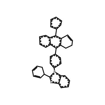 C1=CCC(c2nc3ccccc3n2-c2ccc(-c3c4c(c(-c5ccccc5)c5ccccc35)C=CCC4)cc2)C=C1